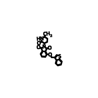 C=C1CCC(N2C(=O)c3cccc(OCc4csc5ccccc45)c3C2=O)C(=O)N1